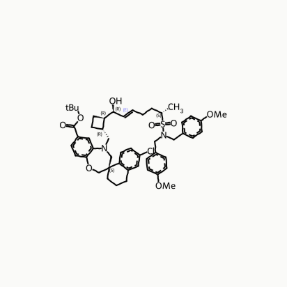 COc1ccc(CN(Cc2ccc(OC)cc2)S(=O)(=O)[C@@H](C)CC/C=C/[C@H](O)[C@@H]2CC[C@H]2CN2C[C@@]3(CCCc4cc(Cl)ccc43)COc3ccc(C(=O)OC(C)(C)C)cc32)cc1